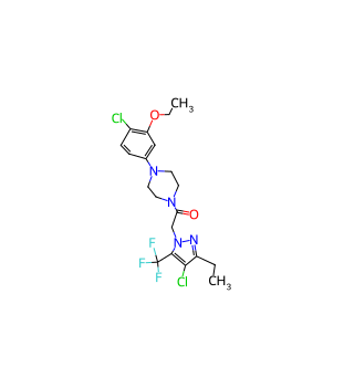 CCOc1cc(N2CCN(C(=O)Cn3nc(CC)c(Cl)c3C(F)(F)F)CC2)ccc1Cl